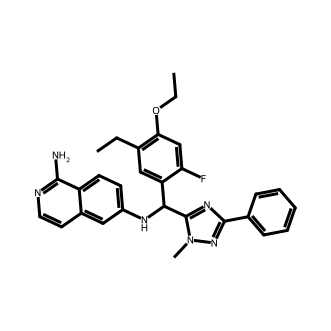 CCOc1cc(F)c(C(Nc2ccc3c(N)nccc3c2)c2nc(-c3ccccc3)nn2C)cc1CC